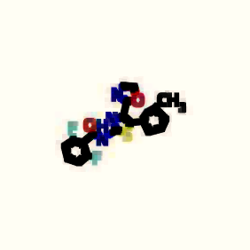 Cc1cccc(-c2sc(NC(=O)c3c(F)cccc3F)nc2-c2ncco2)c1